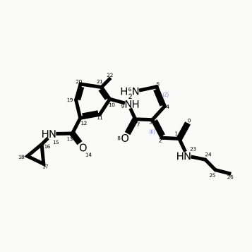 C=C(/C=C(\C=C/N)C(=O)Nc1cc(C(=O)NC2CC2)ccc1C)NCCC